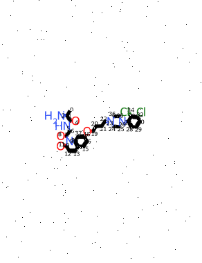 CC(N)C(=O)NCC(=O)n1c(=O)ccc2ccc(OCCCCN3CCN(c4cccc(Cl)c4Cl)CC3)cc21